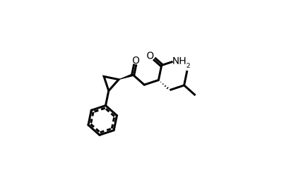 CC(C)C[C@H](CC(=O)[C@@H]1CC1c1ccccc1)C(N)=O